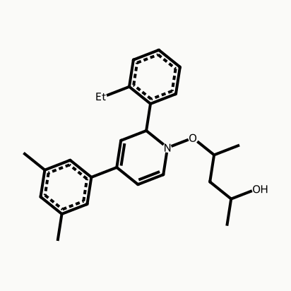 CCc1ccccc1C1C=C(c2cc(C)cc(C)c2)C=CN1OC(C)CC(C)O